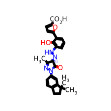 CC1=NN(c2ccc3c(c2)C(C)(C)CC3)C(=O)/C1=N/Nc1cccc(-c2ccc(C(=O)O)o2)c1O